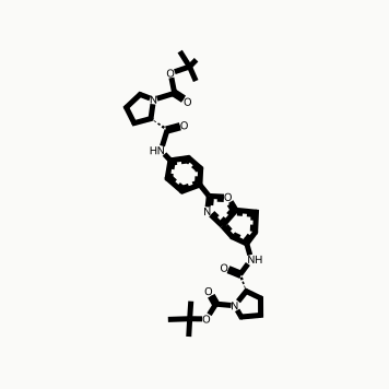 CC(C)(C)OC(=O)N1CCC[C@H]1C(=O)Nc1ccc(-c2nc3cc(NC(=O)[C@@H]4CCCN4C(=O)OC(C)(C)C)ccc3o2)cc1